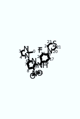 CC1=NCCN1c1ccc([N+](=O)[O-])c(Nc2ccc(N3CCSCC3)c(F)c2)n1